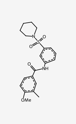 COc1ccc(C(=O)Nc2cccc(S(=O)(=O)N3CCCCC3)c2)cc1C